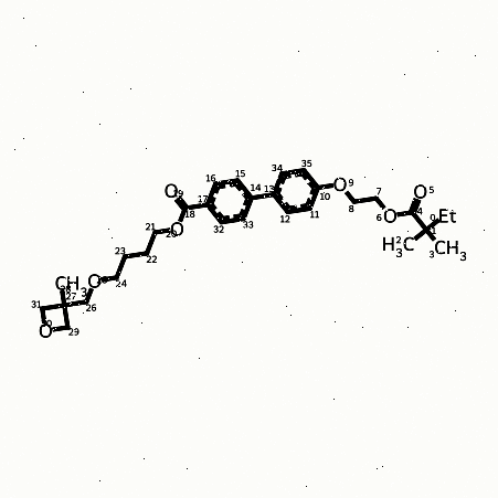 CCC(C)(C)C(=O)OCCOc1ccc(-c2ccc(C(=O)OCCCCOCC3(C)COC3)cc2)cc1